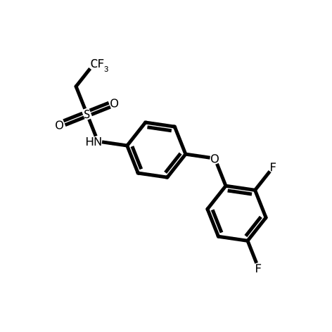 O=S(=O)(CC(F)(F)F)Nc1ccc(Oc2ccc(F)cc2F)cc1